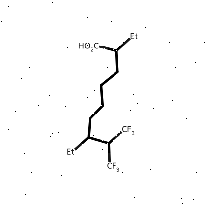 CCC(CCCCC(CC)C(C(F)(F)F)C(F)(F)F)C(=O)O